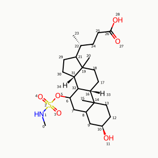 CNS(=O)(=O)OC1CC2C[C@H](O)CCC2(C)[C@H]2CCC3(C)C([C@H](C)CCC(=O)O)CC[C@H]3C12